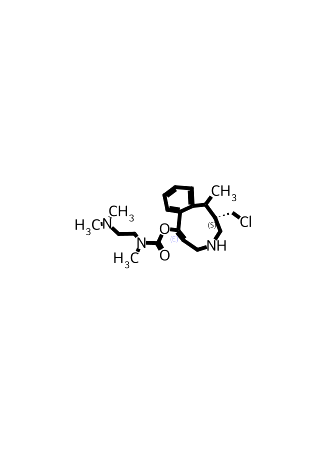 CC1c2ccccc2/C(OC(=O)N(C)CCN(C)C)=C\CNC[C@H]1CCl